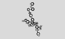 O=C(NS(=O)(=O)c1ccc(NCC2CCOCC2)c([N+](=O)[O-])c1)c1ccc(N2CCC3(CC2)CC(N2CCC[C@H]2c2ccccc2Oc2ccccn2)C3)cc1N1c2cc3cc[nH]c3nc2O[C@@H]2COC[C@H]21